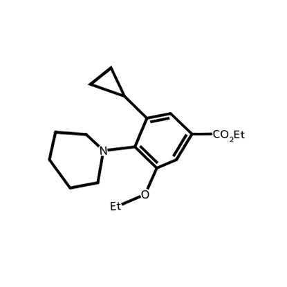 CCOC(=O)c1cc(OCC)c(N2CCCCC2)c(C2CC2)c1